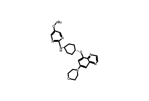 CCCCOc1cnc(N[C@H]2CC[C@@H](Oc3cc(N4CCOCC4)cc4nccnc34)CC2)nc1